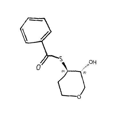 O=C(S[C@@H]1CCOC[C@H]1O)c1ccccc1